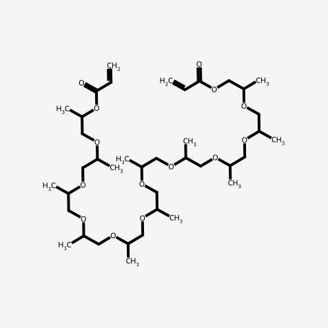 C=CC(=O)OCC(C)OCC(C)OCC(C)OCC(C)OCC(C)OCC(C)OCC(C)OCC(C)OCC(C)OCC(C)OCC(C)OC(=O)C=C